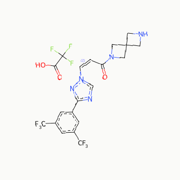 O=C(/C=C\n1cnc(-c2cc(C(F)(F)F)cc(C(F)(F)F)c2)n1)N1CC2(CNC2)C1.O=C(O)C(F)(F)F